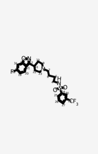 O=S(=O)(NCCCCN1CCC(c2noc3cc(F)ccc23)CC1)c1cccc(C(F)(F)F)c1